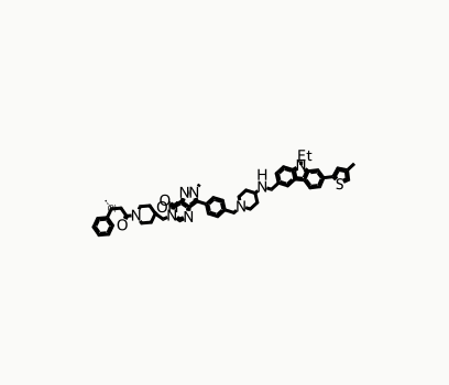 CCn1c2ccc(CNC3CCN(Cc4ccc(-c5c6ncn(CC7(O)CCN(C(=O)C[C@@H](C)c8ccccc8)CC7)c(=O)c6nn5C)cc4)CC3)cc2c2ccc(-c3cc(C)cs3)cc21